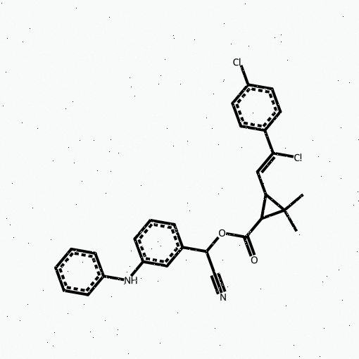 CC1(C)C(C=C(Cl)c2ccc(Cl)cc2)C1C(=O)OC(C#N)c1cccc(Nc2ccccc2)c1